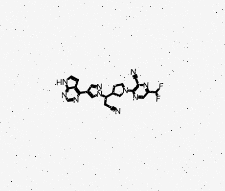 N#CCC(C1CCN(c2ncc(C(F)F)nc2C#N)C1)n1cc(-c2ncnc3[nH]ccc23)cn1